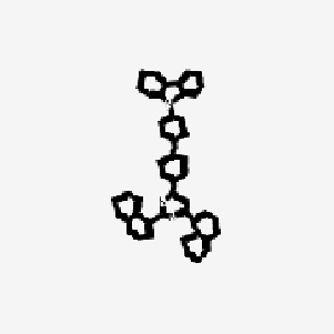 c1ccc2c(-c3cc(-c4ccc(-c5ccc(-n6c7ccccc7c7ccccc76)cc5)cc4)nc(-c4cccc5ccccc45)n3)cccc2c1